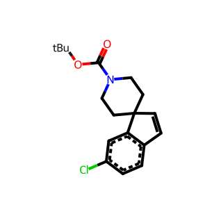 CC(C)(C)OC(=O)N1CCC2(C=Cc3ccc(Cl)cc32)CC1